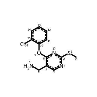 CSc1ncc(CN)c(Oc2ccccc2Cl)n1